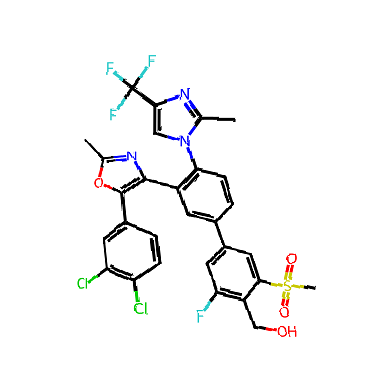 Cc1nc(-c2cc(-c3cc(F)c(CO)c(S(C)(=O)=O)c3)ccc2-n2cc(C(F)(F)F)nc2C)c(-c2ccc(Cl)c(Cl)c2)o1